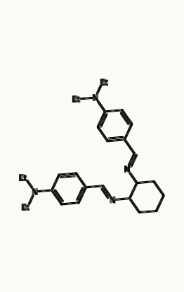 CCN(CC)c1ccc(/C=N/C2CCCCC2/N=C/c2ccc(N(CC)CC)cc2)cc1